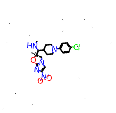 CNC(C1CCN(c2ccc(Cl)cc2)CC1)[C@]1(C)Cn2cc([N+](=O)[O-])nc2O1